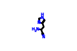 N#CC(N)Cc1c[nH]cn1